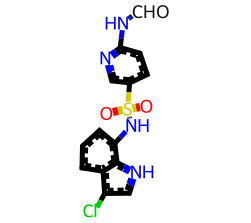 O=CNc1ccc(S(=O)(=O)Nc2cccc3c(Cl)c[nH]c23)cn1